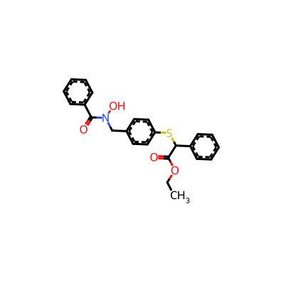 CCOC(=O)C(Sc1ccc(CN(O)C(=O)c2ccccc2)cc1)c1ccccc1